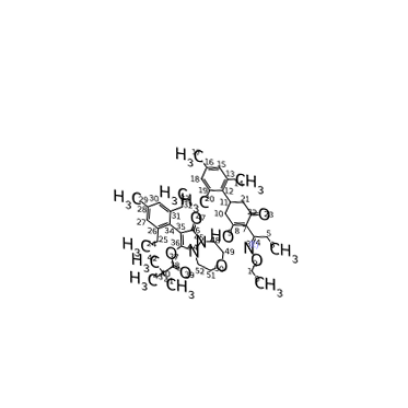 CCO/N=C(\CC)C1=C(O)CC(c2c(C)cc(C)cc2C)CC1=O.CCc1cc(C)cc(CC)c1-c1c(OC(=O)C(C)(C)C)n2n(c1=O)CCOCC2